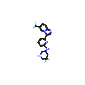 FC(F)c1ccc2ncc(-c3cccc(NC4CNCC(F)(F)C4)n3)n2c1